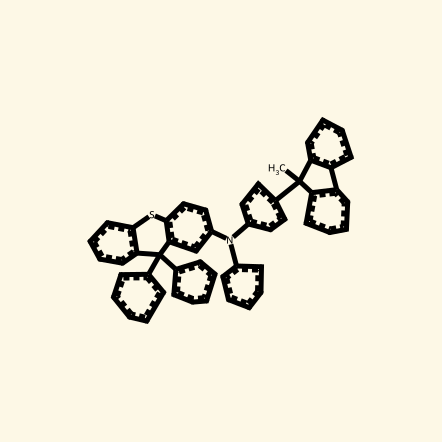 CC1(c2ccc(N(c3ccccc3)c3ccc4c(c3)C(c3ccccc3)(c3ccccc3)c3ccccc3S4)cc2)c2ccccc2-c2ccccc21